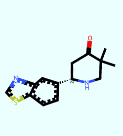 CC1(C)CN[C@H](c2ccc3scnc3c2)CC1=O